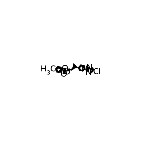 Cc1ccc(S(=O)(=O)OCCC2C[C@@H]2C2CCN(c3ncc(Cl)cn3)CC2)cc1